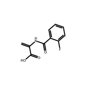 C=C(NC(=O)c1ccccc1F)C(=O)O